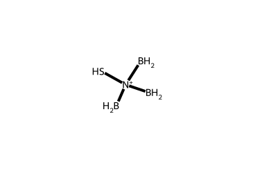 B[N+](B)(B)S